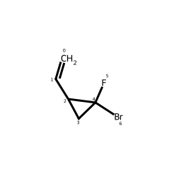 C=CC1CC1(F)Br